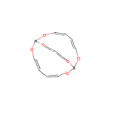 C1=COB2OC=CC=COB(OC=C1)OC=CC=CO2